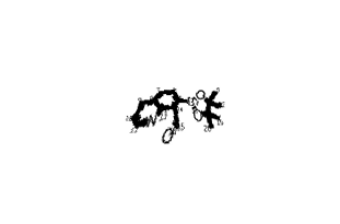 CC1(C)OB(c2ccc3cccnc3c2C=O)OC1(C)C